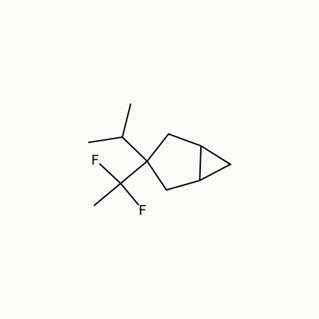 CC(C)C1(C(C)(F)F)CC2CC2C1